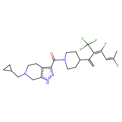 C=C(/C(=C(F)\C=C(/C)F)C(F)(F)F)C1CCN(C(=O)c2n[nH]c3c2CCN(CC2CC2)C3)CC1